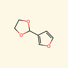 [c]1occc1C1OCCO1